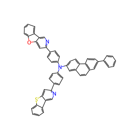 c1ccc(-c2ccc3c(ccc4cc(N(c5ccc(-c6cc7oc8ccccc8c7cn6)cc5)c5ccc(-c6cc7sc8ccccc8c7cn6)cc5)ccc43)c2)cc1